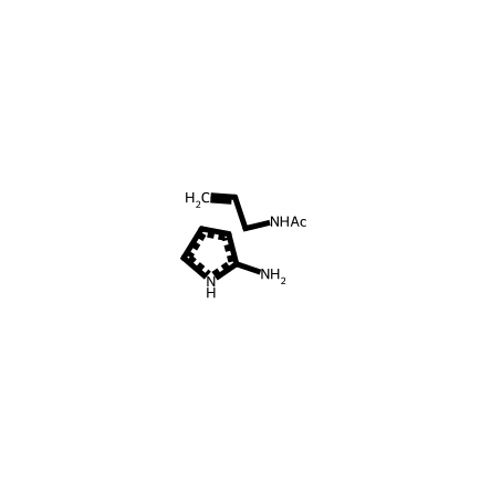 C=CCNC(C)=O.Nc1ccc[nH]1